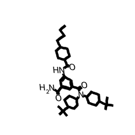 CCCCC1CCC(C(=O)Nc2cc(C(N)=O)cc(C(=O)N(C3CCC(C(C)(C)C)CC3)C3CCC(C(C)(C)C)CC3)c2)CC1